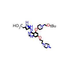 CN1CCN(CCCOc2cc(OC3CCN(CCOC(C)(C)C)CC3)c3c(Nc4cc(CC(=O)O)[nH]n4)ncnc3c2)CC1